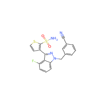 N#Cc1cccc(Cn2nc(-c3ccsc3S(N)(=O)=O)c3c(F)cccc32)c1